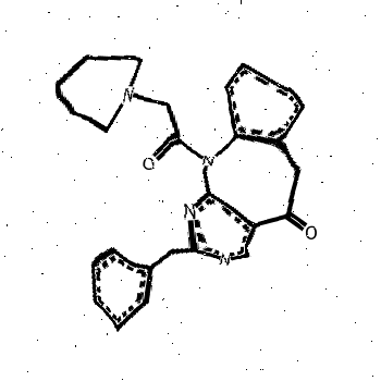 O=C1Cc2ccccc2N(C(=O)CN2CCCCC2)c2nc(-c3ccccc3)ncc21